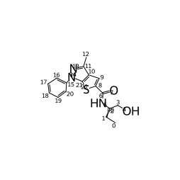 CC[C@H](CO)NC(=O)c1cc2c(C)nn(-c3ccccc3)c2s1